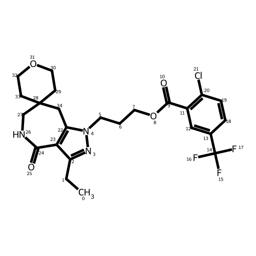 CCc1nn(CCCOC(=O)c2cc(C(F)(F)F)ccc2Cl)c2c1C(=O)NCC1(CCOCC1)C2